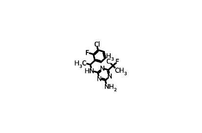 CC(Nc1nc(N)nc(C(C)(C)F)n1)c1cccc(Cl)c1F